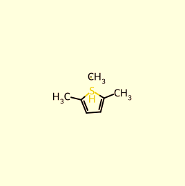 CC1=CC=C(C)[SH]1C